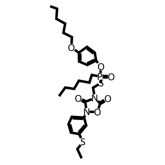 CCCCCCOc1ccc(OP(=O)(CCCCCC)SCn2c(=O)on(-c3cccc(SCC)c3)c2=O)cc1